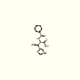 N=C(c1c[nH]cn1)C(NC(=O)c1ccccc1)C(=O)O